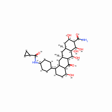 NC(=O)C1C(O)C[C@@H]2C[C@@H]3CC4C(C5CCC(NC(=O)C6CC6)CC5)CCC(O)C4C(=O)C3C(O)[C@]2(O)C1O